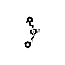 Cl.Cl.Fc1ccccc1CCN1CCN(CCOc2ccccc2)CC1